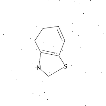 C1=CC2=C(CC1)[N]CS2